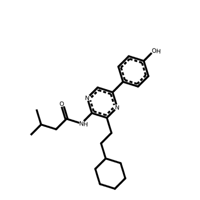 CC(C)CC(=O)Nc1ncc(-c2ccc(O)cc2)nc1CCC1CCCCC1